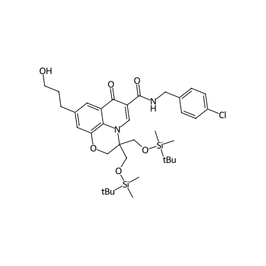 CC(C)(C)[Si](C)(C)OCC1(CO[Si](C)(C)C(C)(C)C)COc2cc(CCCO)cc3c(=O)c(C(=O)NCc4ccc(Cl)cc4)cn1c23